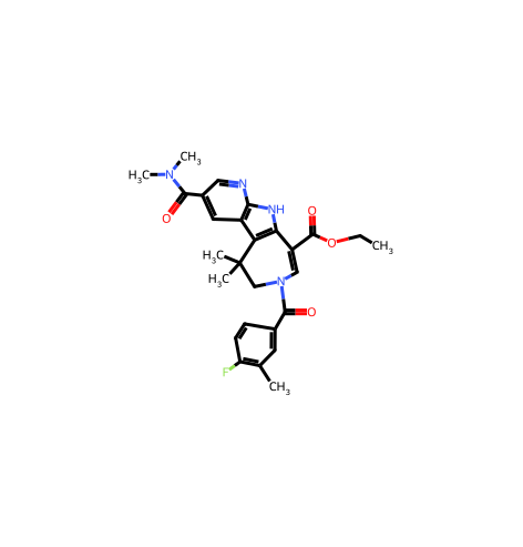 CCOC(=O)C1=CN(C(=O)c2ccc(F)c(C)c2)CC(C)(C)c2c1[nH]c1ncc(C(=O)N(C)C)cc21